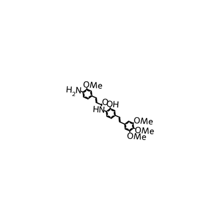 COc1cc(/C=C/C(=O)Nc2ccc(C=Cc3cc(OC)c(OC)c(OC)c3)cc2O)ccc1N